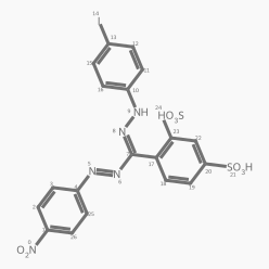 O=[N+]([O-])c1ccc(N=NC(=NNc2ccc(I)cc2)c2ccc(S(=O)(=O)O)cc2S(=O)(=O)O)cc1